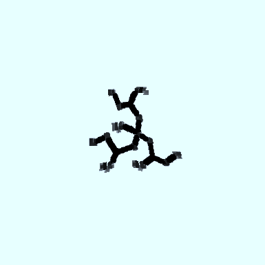 CCOC(C)O[Si](C)(OC(C)OCC)OC(C)OCC